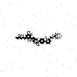 C=C[C@H](N)CCCc1cc(Cl)c(F)c(-c2cc3cn(-c4ccc([C@@H]5CCC[C@@H](CCSC(=N)N)N5C)cc4)c(=O)nc3[nH]2)c1